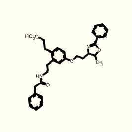 CC1OC(c2ccccc2)=NC1CCOc1ccc(CCC(=O)O)c(CCNC(=O)Cc2ccccc2)c1